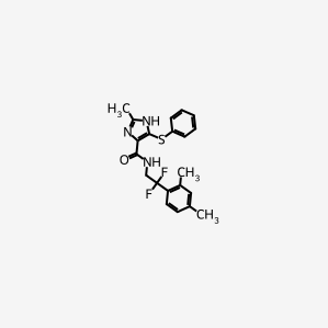 Cc1ccc(C(F)(F)CNC(=O)c2nc(C)[nH]c2Sc2ccccc2)c(C)c1